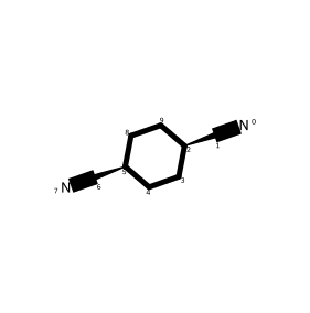 N#C[C@H]1CC[C@@H](C#N)CC1